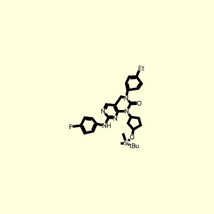 CCc1ccc(N2Cc3cnc(Nc4ccc(F)cc4)nc3N(C3CCC(O[Si](C)(C)C(C)(C)C)C3)C2=O)cc1